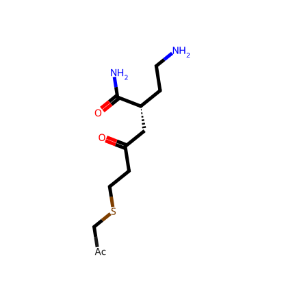 CC(=O)CSCCC(=O)C[C@@H](CCN)C(N)=O